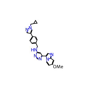 COc1ccn2c(-c3cc(NCc4ccc(-c5cnn(CC6CC6)c5)cc4)ncn3)cnc2c1